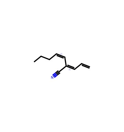 C=C/C=C(C#N)\C=C/CCC